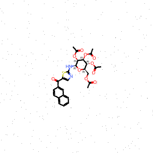 CC(=O)OC[C@H]1O[C@@H](Nc2ncc(C(=O)c3ccc4ccccc4c3)s2)[C@@H](OC(C)=O)[C@@H](OC(C)=O)[C@@H]1OC(C)=O